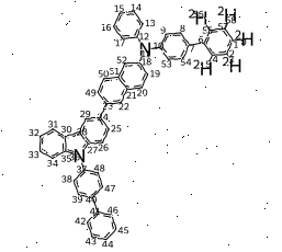 [2H]c1c([2H])c([2H])c(-c2ccc(N(c3ccccc3)c3ccc4cc(-c5ccc6c(c5)c5ccccc5n6-c5ccc(-c6ccccc6)cc5)ccc4c3)cc2)c([2H])c1[2H]